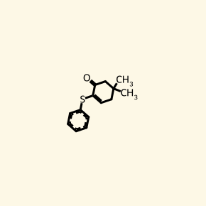 CC1(C)CC=C(Sc2ccccc2)C(=O)C1